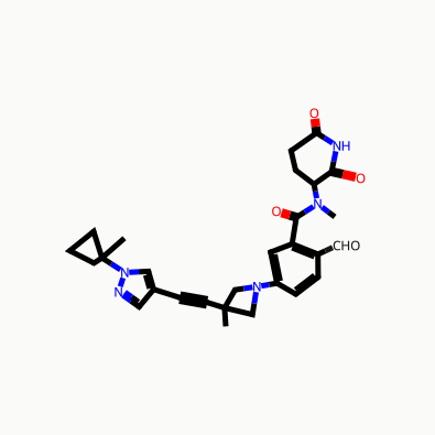 CN(C(=O)c1cc(N2CC(C)(C#Cc3cnn(C4(C)CCC4)c3)C2)ccc1C=O)C1CCC(=O)NC1=O